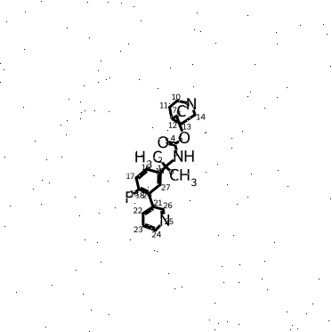 CC(C)(NC(=O)OC1CN2CCC1CC2)c1ccc(F)c(-c2cccnc2)c1